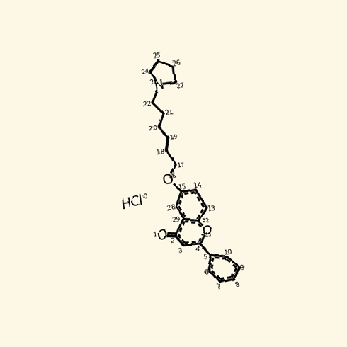 Cl.O=c1cc(-c2ccccc2)oc2ccc(OCCCCCCN3CCCC3)cc12